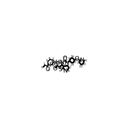 C=CC(=O)N1CCC[C@@H](NC(=O)c2sc3nccc4c3c2NC(=O)N4c2ccc(Oc3ccccn3)cc2)C1